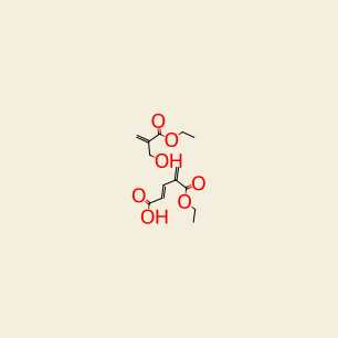 C=C(C=CC(=O)O)C(=O)OCC.C=C(CO)C(=O)OCC